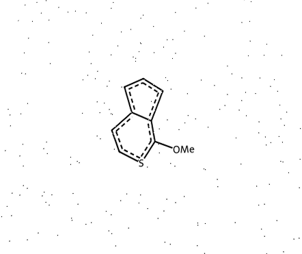 COc1sccc2[c]ccc1-2